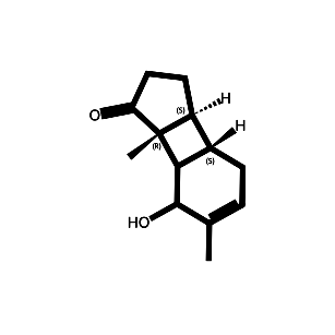 CC1=CC[C@@H]2C(C1O)[C@]1(C)C(=O)CC[C@@H]21